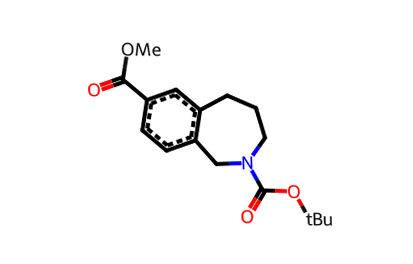 COC(=O)c1ccc2c(c1)CCCN(C(=O)OC(C)(C)C)C2